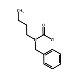 CCCCN(Cc1ccccc1)C(=O)Cl